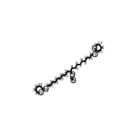 O=COC(CCCCCCCCCOC1CCCCO1)CCCCCCCCCOC1CCCCO1